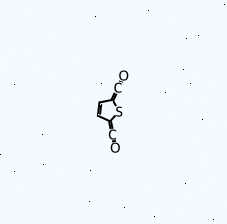 O=C=c1ccc(=C=O)s1